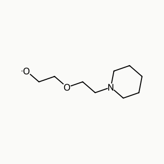 [O]CCOCCN1CCCCC1